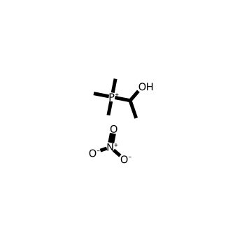 CC(O)[P+](C)(C)C.O=[N+]([O-])[O-]